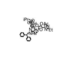 CCc1noc(C2OC(n3cnc4c(NCC(c5ccccc5)c5ccccc5)nc(CNS(=O)(=O)CC(C)C)nc43)C(OC(C)=O)C2OC(C)=O)n1